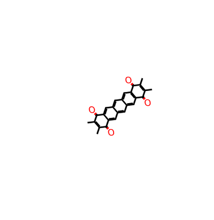 Cc1c(C)c(=O)c2cc3cc4cc5c(=O)c(C)c(C)c(=O)c5cc4cc3cc2c1=O